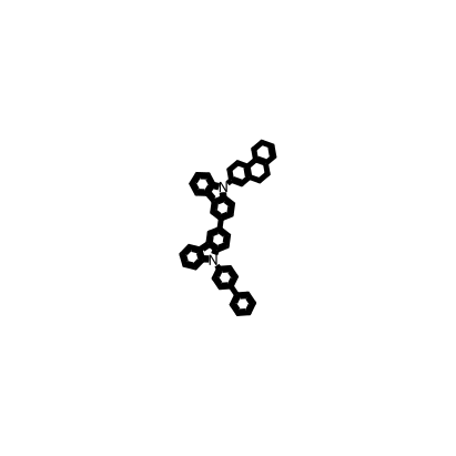 C1=CC2=C(CC1)C1=C(C=C(n3c4ccccc4c4cc(-c5ccc6c(c5)c5ccccc5n6-c5ccc(-c6ccccc6)cc5)ccc43)CC1)CC2